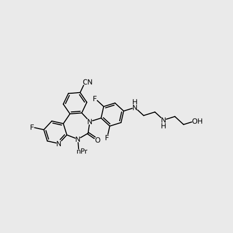 CCCN1C(=O)N(c2c(F)cc(NCCNCCO)cc2F)c2cc(C#N)ccc2-c2cc(F)cnc21